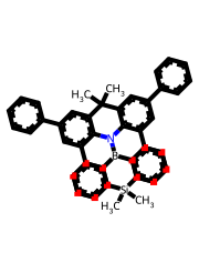 CC1(C)c2cc(-c3ccccc3)cc(-c3ccccc3)c2N(B2c3ccccc3[Si](C)(C)c3ccccc32)c2c(-c3ccccc3)cc(-c3ccccc3)cc21